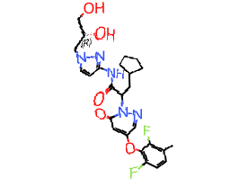 Cc1ccc(F)c(Oc2cnn(C(CC3CCCC3)C(=O)Nc3ccn(C[C@@H](O)CO)n3)c(=O)c2)c1F